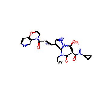 CC(C)Cn1c(=O)c(C(=O)NC2CC2)c(O)n2ncc(/C=C/C(=O)N3CCOc4ccncc43)c12